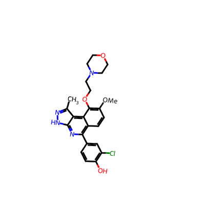 COc1ccc2c(-c3ccc(O)c(Cl)c3)nc3[nH]nc(C)c3c2c1OCCN1CCOCC1